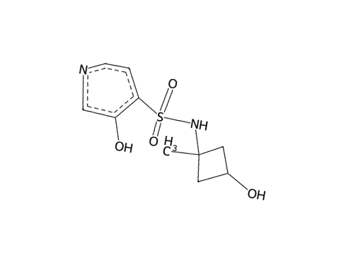 CC1(NS(=O)(=O)c2ccncc2O)CC(O)C1